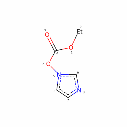 CCOC(=O)On1ccnc1